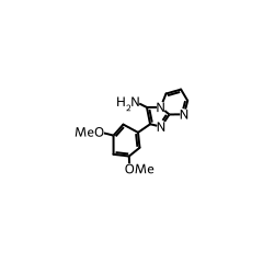 COc1cc(OC)cc(-c2nc3ncccn3c2N)c1